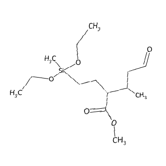 CCO[Si](C)(CCC(C(=O)OC)C(C)CC=O)OCC